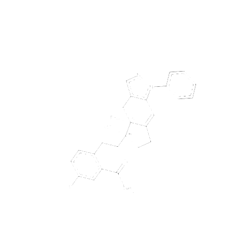 CC[C@]12Cc3cnn(-c4ccccc4)c3C=C1CC[C@@]2(O)CCc1ccc(F)cc1C(N)=O